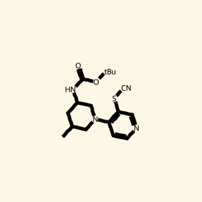 CC1CC(NC(=O)OC(C)(C)C)CN(c2ccncc2SC#N)C1